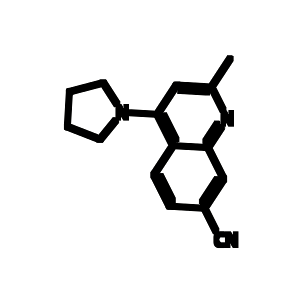 Cc1cc(N2CCCC2)c2ccc(C#N)cc2n1